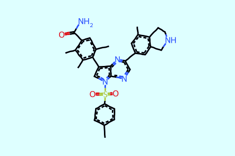 Cc1ccc(S(=O)(=O)n2cc(-c3c(C)cc(C(N)=O)c(C)c3C)c3nc(-c4cc(C)c5c(c4)CNCC5)cnc32)cc1